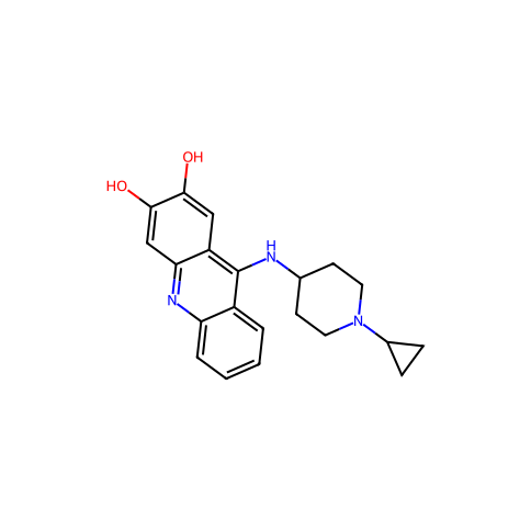 Oc1cc2nc3ccccc3c(NC3CCN(C4CC4)CC3)c2cc1O